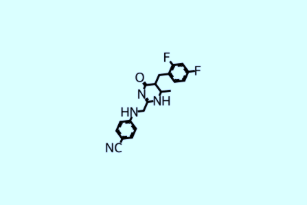 CC1NC(CNc2ccc(C#N)cc2)=NC(=O)C1Cc1ccc(F)cc1F